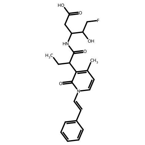 CCC(C(=O)NC(CC(=O)O)C(O)CF)c1c(C)ccn(C=Cc2ccccc2)c1=O